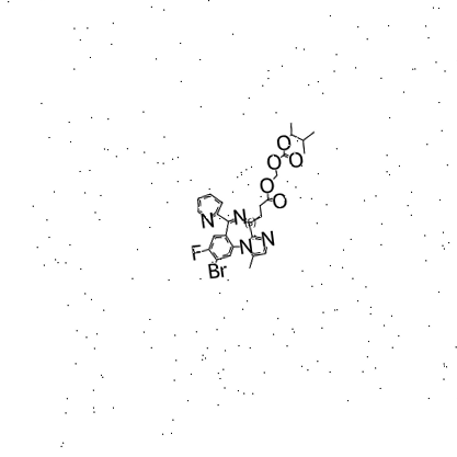 Cc1cnc2n1-c1cc(Br)c(F)cc1C(c1ccccn1)=N[C@H]2CCC(=O)OCOC(=O)OC(C)C(C)C